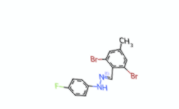 Cc1cc(Br)c(/C=N/Nc2ccc(F)cc2)c(Br)c1